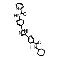 O=C(NC1CCCCC1)c1ccc(-c2cnc(-c3ccc(NC(=O)c4ccccn4)cc3)[nH]2)cc1